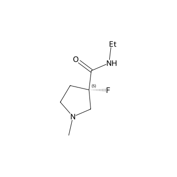 CCNC(=O)[C@]1(F)CCN(C)C1